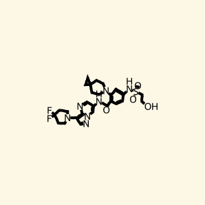 O=C(Nc1cnc2c(N3CCC(F)(F)CC3)cnn2c1)c1ccc(NS(=O)(=O)CCO)cc1N1CCC2(CC1)CC2